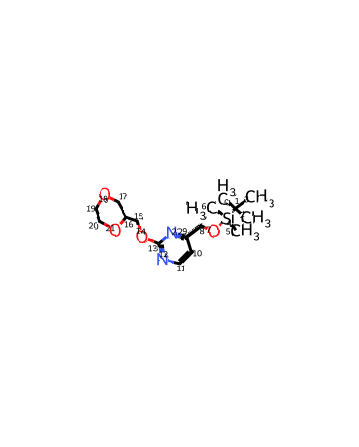 CC(C)(C)[Si](C)(C)OCc1ccnc(OCC2COCCO2)n1